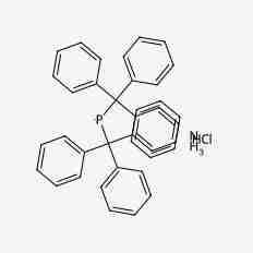 Cl.N.c1ccc(C([P]C(c2ccccc2)(c2ccccc2)c2ccccc2)(c2ccccc2)c2ccccc2)cc1